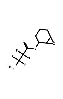 O=C(O)C(F)(F)C(F)(F)C(=O)OC1CCCC2OC12